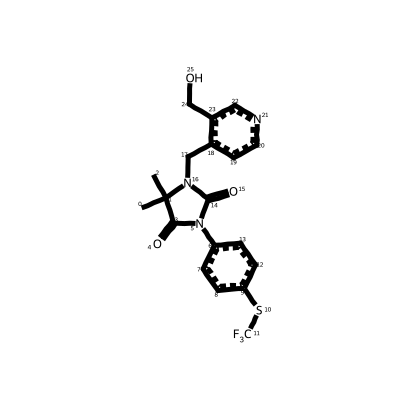 CC1(C)C(=O)N(c2ccc(SC(F)(F)F)cc2)C(=O)N1Cc1ccncc1CO